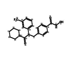 O=C(NO)c1ccc(CN(C(=O)N2CCCCC2)c2cccc(C(F)(F)F)c2)cc1